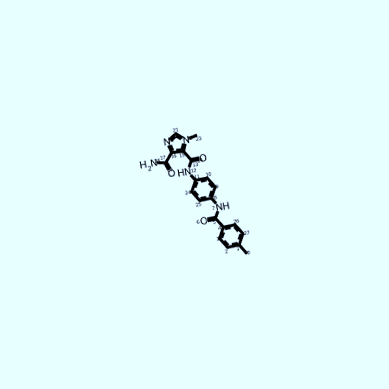 Cc1ccc(C(=O)Nc2ccc(NC(=O)c3c(C(N)=O)ncn3C)cc2)cc1